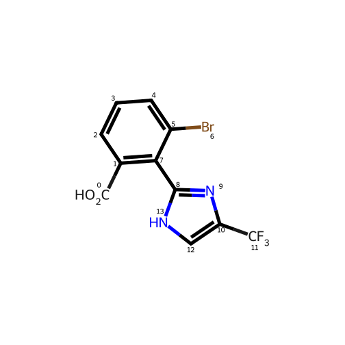 O=C(O)c1cccc(Br)c1-c1nc(C(F)(F)F)c[nH]1